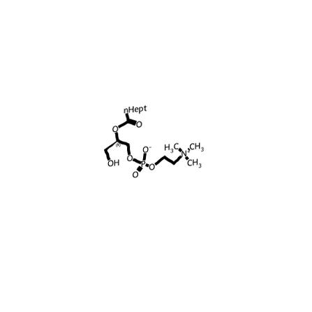 CCCCCCCC(=O)O[C@H](CO)COP(=O)([O-])OCC[N+](C)(C)C